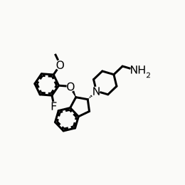 COc1cccc(F)c1O[C@@H]1c2ccccc2C[C@H]1N1CCC(CN)CC1